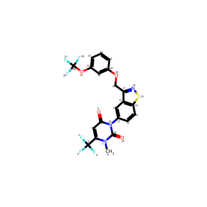 Cn1c(C(F)(F)F)cc(=O)n(-c2ccc3snc(COc4cccc(OC(F)(F)F)c4)c3c2)c1=O